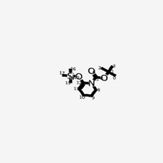 CC(C)(C)OC(=O)N1CCCC=C1O[Si](C)(C)C